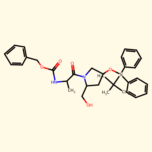 CC(NC(=O)OCc1ccccc1)C(=O)N1CC(O[Si](c2ccccc2)(c2ccccc2)C(C)(C)C)CC1CO